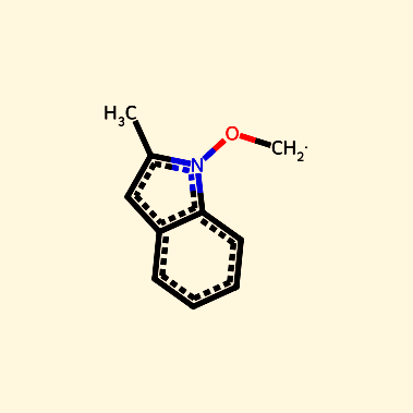 [CH2]On1c(C)cc2ccccc21